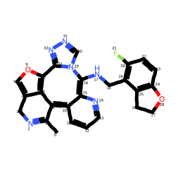 CC1=NCc2coc3c2C1=c1cccnc1=C(NCc1c(F)ccc2c1CCO2)n1cnnc1-3